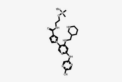 CC(C)(C)[Si](C)(C)OCCNC(=O)c1ccn(-c2cnc(Nc3cnc(C#N)cn3)cc2NCC2CCCNC2)c1